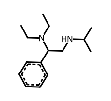 CCN(CC)C(CNC(C)C)c1ccccc1